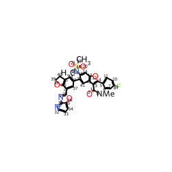 CNC(=O)c1c(-c2ccc(F)cc2)oc2cc(N(C)S(C)(=O)=O)c(-c3cc4c(c(-c5nc6ncccc6o5)c3)OCC4)cc12